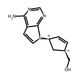 Nc1ncnc2c1ccn2[C@H]1C=C[C@@H](CO)C1